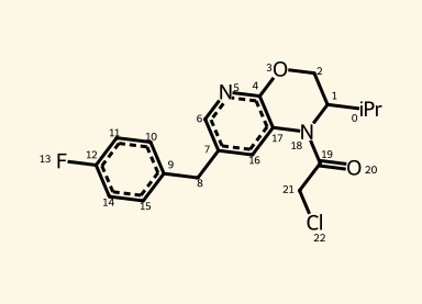 CC(C)C1COc2ncc(Cc3ccc(F)cc3)cc2N1C(=O)CCl